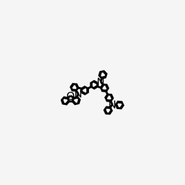 c1ccc(N(c2ccccc2)c2ccc(-c3ccc4c(c3)c3cc(-c5ccc6c(c5)c5ccccc5n6-c5cccc6c5oc5ccccc56)ccc3n4-c3ccccc3)cc2)cc1